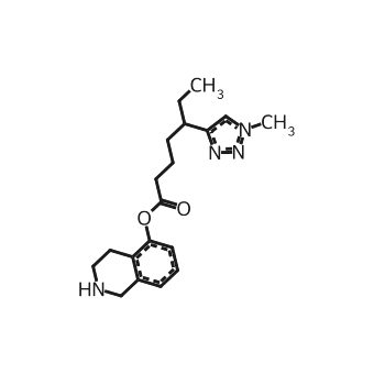 CCC(CCCC(=O)Oc1cccc2c1CCNC2)c1cn(C)nn1